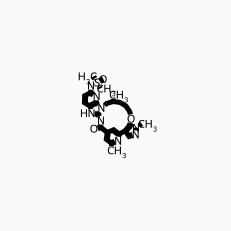 Cc1cc2cc(n1)-c1cnn(C)c1OCCCC(C)CN1/C(=N/C2=O)Nc2ccc(N=S(C)(C)=O)nc21